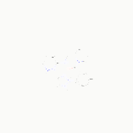 C[C@@H]1CCCN(C(=O)c2cc(Cl)ccc2-n2nccn2)C1CNc1ccc(C(F)(F)F)nn1